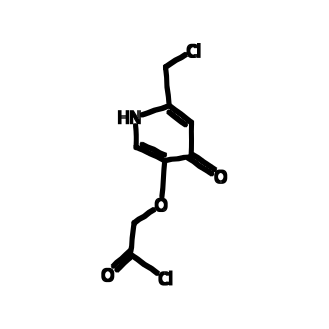 O=C(Cl)COc1c[nH]c(CCl)cc1=O